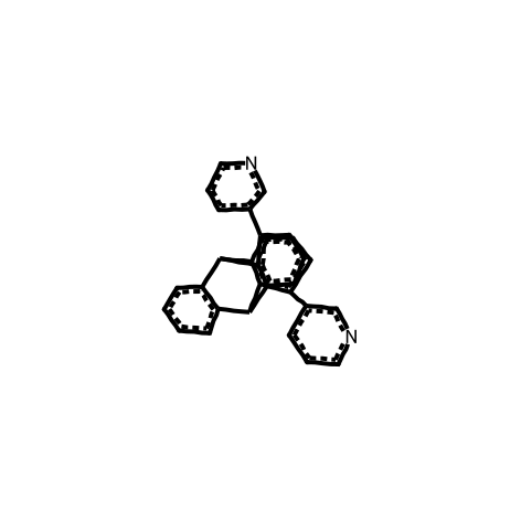 c1cncc(-c2cccc3c2C2c4ccccc4C3c3c(-c4cccnc4)cccc32)c1